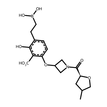 CC1CO[C@H](C(=O)N2CC(Oc3ccc(CCB(O)O)c(O)c3C(=O)O)C2)C1